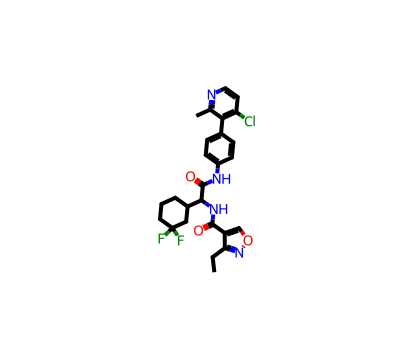 CCc1nocc1C(=O)NC(C(=O)Nc1ccc(-c2c(Cl)ccnc2C)cc1)C1CCCC(F)(F)C1